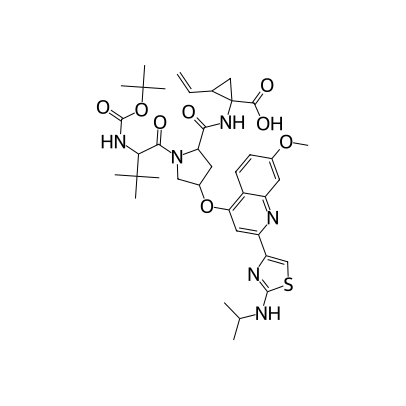 C=CC1CC1(NC(=O)C1CC(Oc2cc(-c3csc(NC(C)C)n3)nc3cc(OC)ccc23)CN1C(=O)C(NC(=O)OC(C)(C)C)C(C)(C)C)C(=O)O